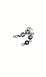 Cc1nc(Nc2ccc(Oc3ccc(Cl)cc3)cn2)nc(N2CCN(CCO)CC2)n1